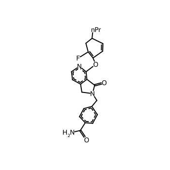 CCCC1C=CC(Oc2nccc3c2C(=O)N(Cc2ccc(C(N)=O)cc2)C3)=C(F)C1